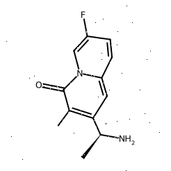 Cc1c([C@H](C)N)cc2ccc(F)cn2c1=O